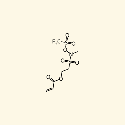 C=CC(=O)OCCS(=O)(=O)N(C)OS(=O)(=O)C(F)(F)F